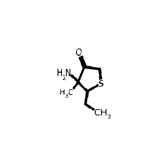 CCC1SCC(=O)C1(C)N